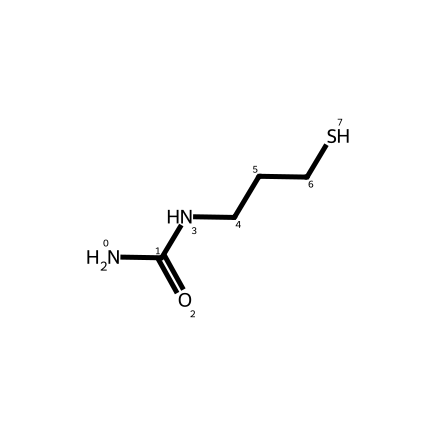 NC(=O)NCCCS